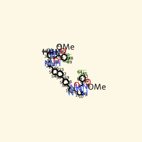 COC(=O)N[C@H](C(=O)N1C2CC2C[C@H]1c1ncc(-c2ccc(-c3ccc4cc(-c5cnc([C@@H]6C[C@H]7C[C@H]7N6C(=O)[C@@H](NC(=O)OC)C6CCC(F)(F)CC6)[nH]5)ccc4c3)cc2)[nH]1)C1CCC(F)(F)CC1